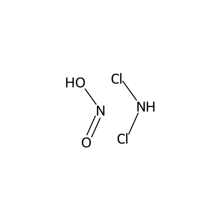 ClNCl.O=NO